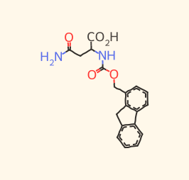 NC(=O)CC(NC(=O)OCc1cccc2c1Cc1ccccc1-2)C(=O)O